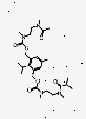 CC(=O)N(C)CCN(C)C(=O)OCc1cc(C)cc(COC(=O)N(C)CCN(C)C(=O)C(C)C)c1C(C)C